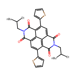 CCCCC(CC)CN1C(=O)c2cc(-c3cccs3)c3c4c(cc(-c5cccs5)c(c24)C1=O)C(=O)N(CC(CC)CCCC)C3=O